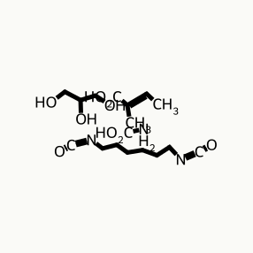 CC=C(C)C(=O)O.NC(=O)O.O=C=NCCCCCCN=C=O.OCC(O)CO